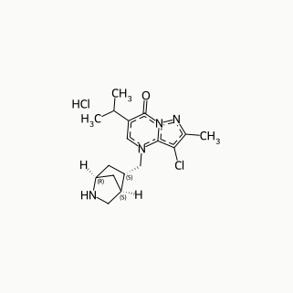 Cc1nn2c(=O)c(C(C)C)cn(C[C@H]3C[C@H]4C[C@@H]3CN4)c2c1Cl.Cl